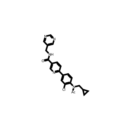 CC(=O)N(CC1CC1)c1ccc(-c2ccc(C(=O)NCc3cncnc3)cn2)cc1Cl